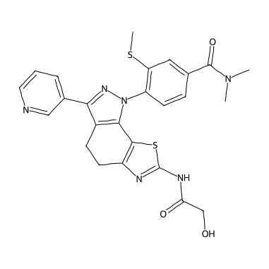 CSc1cc(C(=O)N(C)C)ccc1-n1nc(-c2cccnc2)c2c1-c1sc(NC(=O)CO)nc1CC2